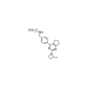 CCOC(=O)NCc1ccc(-c2nc(N3CC[C@@H]3C)nc3c2CCC3)cc1